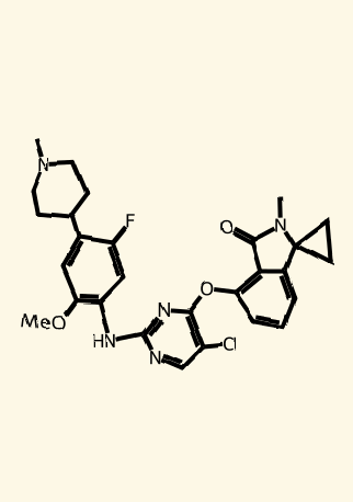 COc1cc(C2CCN(C)CC2)c(F)cc1Nc1ncc(Cl)c(Oc2cccc3c2C(=O)N(C)C32CC2)n1